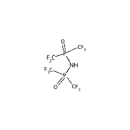 O=P(NP(=O)(C(F)(F)F)C(F)(F)F)(C(F)(F)F)C(F)(F)F